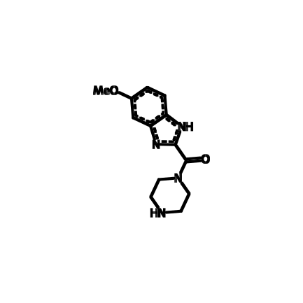 COc1ccc2[nH]c(C(=O)N3CCNCC3)nc2c1